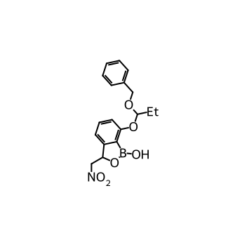 CCC(OCc1ccccc1)Oc1cccc2c1B(O)OC2C[N+](=O)[O-]